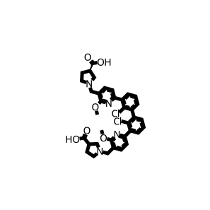 COc1nc(-c2cccc(-c3cccc(-c4ccc(CN5CC[C@@H](C(=O)O)C5)c(OC)n4)c3Cl)c2Cl)ccc1CN1CCC(C(=O)O)C1